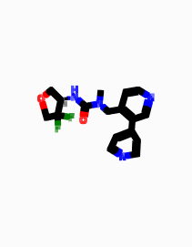 CN(Cc1ccncc1-c1ccncc1)C(=O)N[C@H]1COCC1(F)F